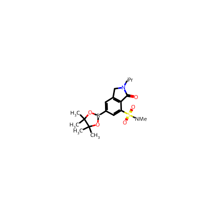 CNS(=O)(=O)c1cc(B2OC(C)(C)C(C)(C)O2)cc2c1C(=O)N(C(C)C)C2